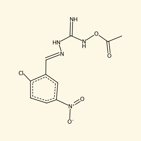 CC(=O)ONC(=N)NN=Cc1cc([N+](=O)[O-])ccc1Cl